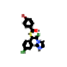 O=C(SC(c1ccc(Cl)cc1)C(Cl)n1ccnc1)c1ccc(Br)cc1